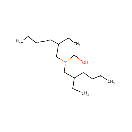 CCCCC(CC)CP(CO)CC(CC)CCCC